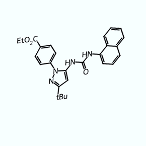 CCOC(=O)c1ccc(-n2nc(C(C)(C)C)cc2NC(=O)Nc2cccc3ccccc23)cc1